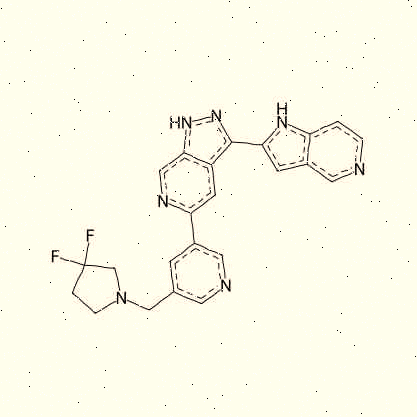 FC1(F)CCN(Cc2cncc(-c3cc4c(-c5cc6cnccc6[nH]5)n[nH]c4cn3)c2)C1